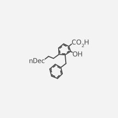 CCCCCCCCCCCCc1ccc(C(=O)O)c(O)c1Cc1ccccc1